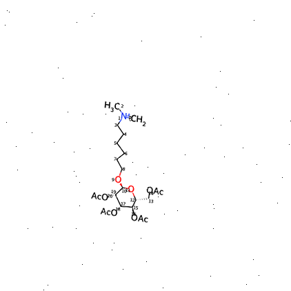 C=[N+](C)CCCCCCO[C@H]1O[C@H](COC(C)=O)[C@@H](OC(C)=O)[C@H](OC(C)=O)[C@@H]1OC(C)=O